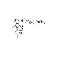 CN1CCC(OCC2CCN(c3cccc4c3C(=O)N(C3CCC(=O)NC3=O)C4=O)CC2)CC1